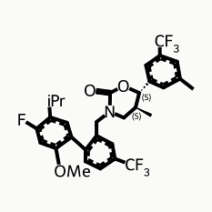 COc1cc(F)c(C(C)C)cc1-c1ccc(C(F)(F)F)cc1CN1C[C@H](C)[C@@H](c2cc(C)cc(C(F)(F)F)c2)OC1=O